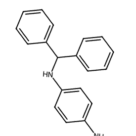 Nc1ccc(NC(c2ccccc2)c2ccccc2)cc1